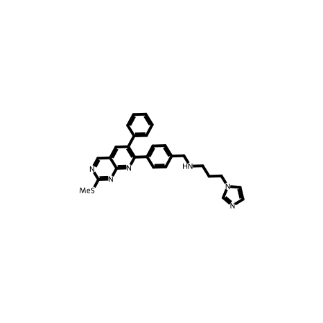 CSc1ncc2cc(-c3ccccc3)c(-c3ccc(CNCCCn4ccnc4)cc3)nc2n1